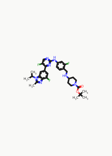 Cc1nc2c(F)cc(-c3nc(Nc4ccc(CNC5CCN(C(=O)OC(C)(C)C)CC5)c(F)c4)ncc3F)cc2n1C(C)C